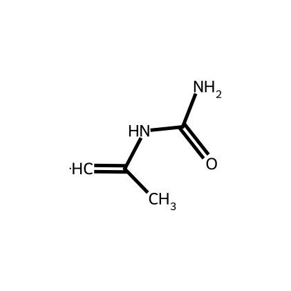 [CH]=C(C)NC(N)=O